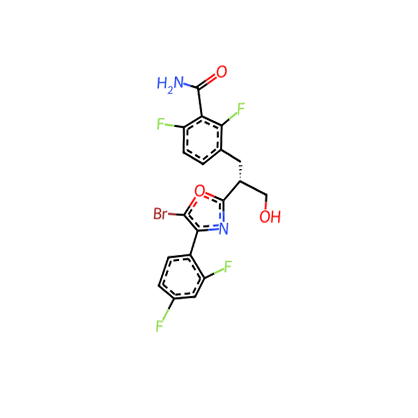 NC(=O)c1c(F)ccc(C[C@H](CO)c2nc(-c3ccc(F)cc3F)c(Br)o2)c1F